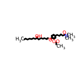 CCCCCCCCC(O)CCCCC=COc1ccc(CCCCC(=O)N(C)C)cc1OC(=O)CC